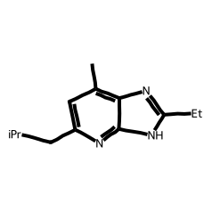 CCc1nc2c(C)cc(CC(C)C)nc2[nH]1